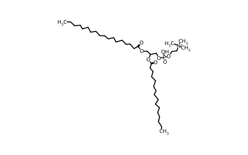 CCCCCCCCCCCCCCCCCC(=O)OCC(COP(=O)(O)OCC[N+](C)(C)C)OC(=O)CCCCCCCCCCCCCCC